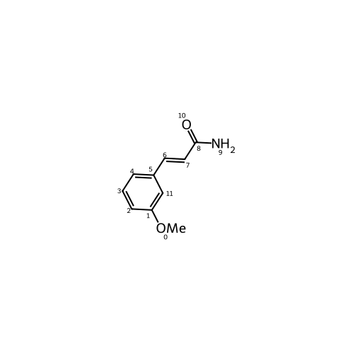 COc1cccc(C=CC(N)=O)c1